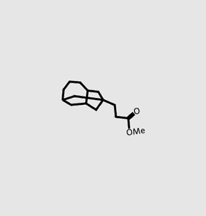 COC(=O)CCC12CC3CCCC(C1)C(C3)C2